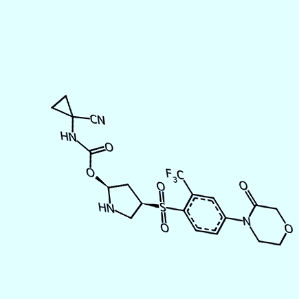 N#CC1(NC(=O)O[C@H]2C[C@@H](S(=O)(=O)c3ccc(N4CCOCC4=O)cc3C(F)(F)F)CN2)CC1